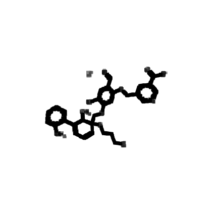 Cc1ccccc1C1=CC=CC(COc2cc(OCc3cncc(C(=O)[O-])c3)c(C=O)cc2Cl)(OCCCCl)C1C.[Li+]